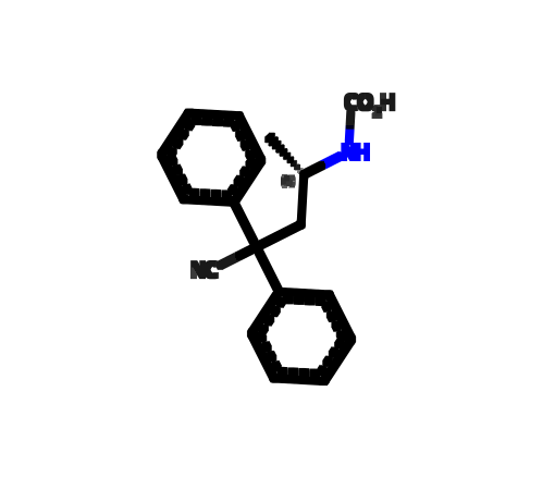 C[C@@H](CC(C#N)(c1ccccc1)c1ccccc1)NC(=O)O